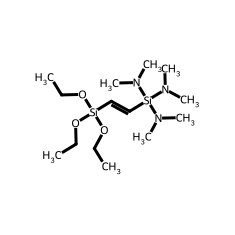 CCO[Si](/C=C/[Si](N(C)C)(N(C)C)N(C)C)(OCC)OCC